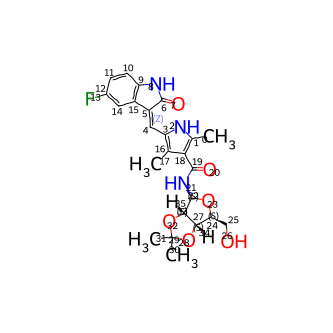 Cc1[nH]c(/C=C2\C(=O)Nc3ccc(F)cc32)c(C)c1C(=O)N[C@H]1O[C@@H](CO)[C@@H]2OC(C)(C)O[C@@H]21